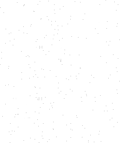 CC(=O)Nc1ccc(C)c(N2C(=O)c3ccc(C)cc3C2=O)c1